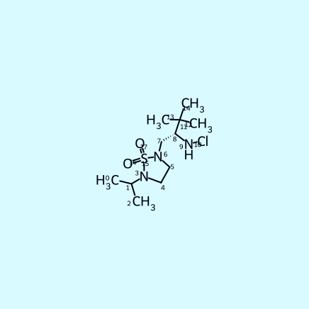 CC(C)N1CCN(C[C@@H](NCl)C(C)(C)C)S1(=O)=O